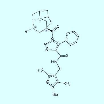 Cc1nn(C(C)(C)C)c(C)c1CNC(=O)c1nnn(C(=O)[C@@]23CC4CC5C[C@H](C2)C[C@]54C3)c1-c1ccccc1